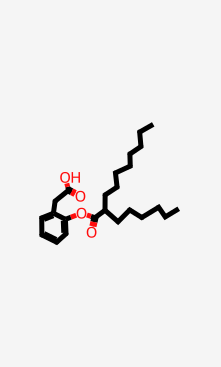 CCCCCCCCC(CCCCCC)C(=O)Oc1ccccc1CC(=O)O